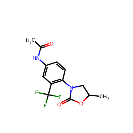 CC(=O)Nc1ccc(N2CC(C)OC2=O)c(C(F)(F)F)c1